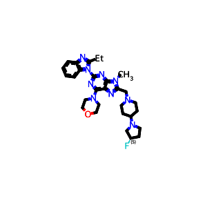 CCc1nc2ccccc2n1-c1nc(N2CCOCC2)c2nc(CN3CCC(N4CC[C@H](F)C4)CC3)n(C)c2n1